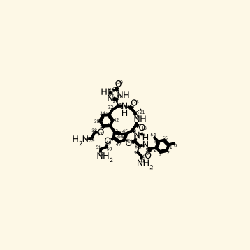 Cc1ccc(C(=O)N[C@@H](CCN)C(=O)N(C)[C@@H]2C(=O)N[C@@H](C)C(=O)N[C@H](c3n[nH]c(=O)[nH]3)Cc3ccc(OCCN)c(c3)-c3cc2ccc3OCCN)c(C)c1